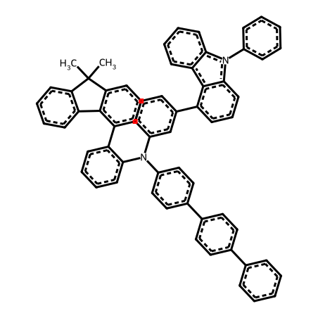 CC1(C)c2ccccc2-c2c(-c3ccccc3N(c3ccc(-c4ccc(-c5ccccc5)cc4)cc3)c3cccc(-c4cccc5c4c4ccccc4n5-c4ccccc4)c3)cccc21